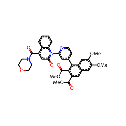 COC(=O)c1cc2cc(OC)c(OC)cc2c(-c2ccnc(-n3c(=O)cc(C(=O)N4CCOCC4)c4ccccc43)c2)c1C(=O)OC